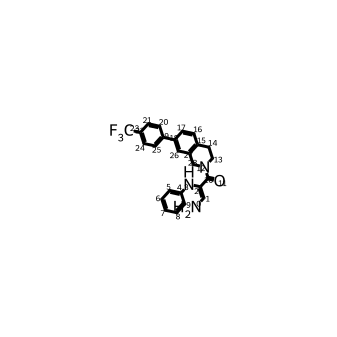 N/C=C(\Nc1ccccc1)C(=O)N1CCc2ccc(-c3ccc(C(F)(F)F)cc3)cc2C1